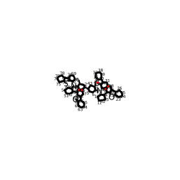 Cc1cc(-c2ccc(N(c3ccccc3-c3cccc4c3oc3ccccc34)c3cccc4c3sc3ccccc34)c(C)c2)ccc1N(c1ccccc1-c1cccc2c1oc1ccccc12)c1cccc2c1sc1ccccc12